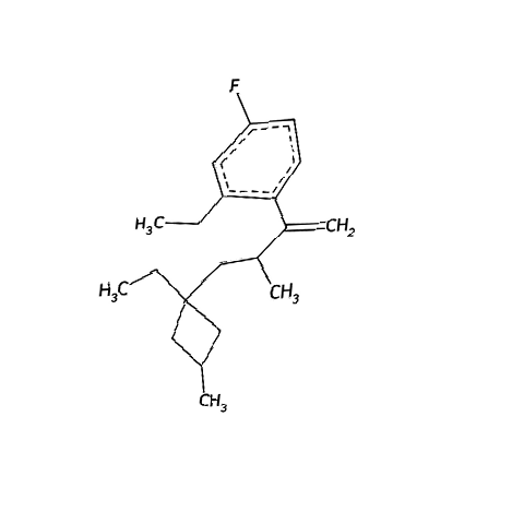 C=C(c1ccc(F)cc1CC)C(C)CC1(CC)CC(C)C1